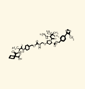 Cc1ncsc1-c1ccc(CNC(=O)[C@@H]2C[C@@H](OCNC(=O)OCC3=CC=C(NC(=O)[C@H](C)NC(=O)C4(C(=O)O)CCC4)CC3)CN2C(=O)[C@@H](NN)C(C)(C)C)cc1